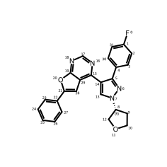 Fc1ccc(-c2nn([C@@H]3CCOC3)cc2-c2ncnc3oc(-c4ccccc4)cc23)cc1